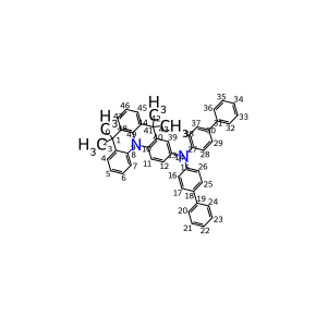 CC1(C)c2ccccc2N2c3ccc(N(c4ccc(-c5ccccc5)cc4)c4ccc(-c5ccccc5)cc4)cc3C(C)(C)c3cccc1c32